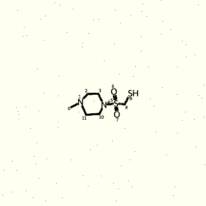 CN1CCN(S(=O)(=O)CS)CC1